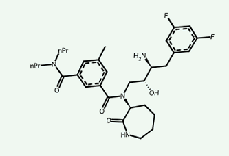 CCCN(CCC)C(=O)c1cc(C)cc(C(=O)N(C[C@@H](O)[C@@H](N)Cc2cc(F)cc(F)c2)[C@H]2CCCCNC2=O)c1